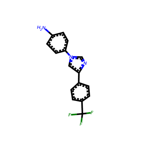 Nc1ccc(-n2cnc(-c3ccc(C(F)(F)F)cc3)c2)cc1